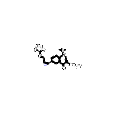 CCOC(=O)c1cn(N(C)C)c2ccc(/C=C\COC(=O)OC(C)(C)C)cc2c1=O